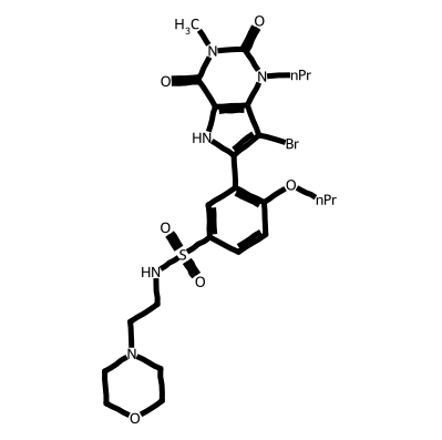 CCCOc1ccc(S(=O)(=O)NCCN2CCOCC2)cc1-c1[nH]c2c(=O)n(C)c(=O)n(CCC)c2c1Br